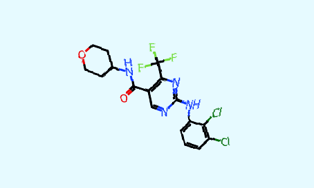 O=C(NC1CCOCC1)c1cnc(Nc2cccc(Cl)c2Cl)nc1C(F)(F)F